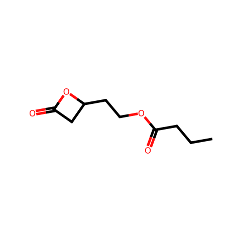 CCCC(=O)OCCC1CC(=O)O1